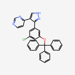 Clc1cc(OC(c2ccccc2)(c2ccccc2)c2ccccc2)cc(-c2n[nH]cc2-c2ccncn2)c1